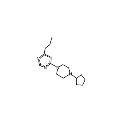 [CH2]CCc1cc(N2CCN(C3CCCC3)CC2)ncn1